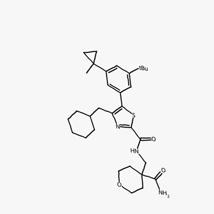 CC(C)(C)c1cc(-c2sc(C(=O)NCC3(C(N)=O)CCOCC3)nc2CC2CCCCC2)cc(C2(C)CC2)c1